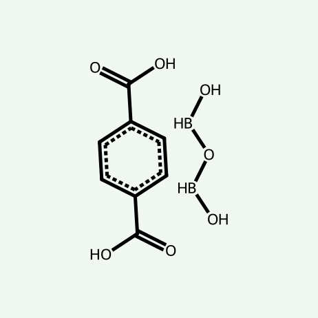 O=C(O)c1ccc(C(=O)O)cc1.OBOBO